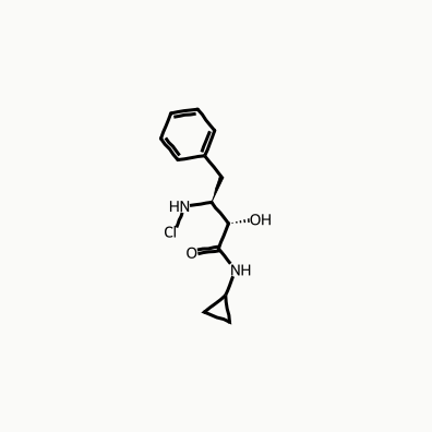 O=C(NC1CC1)[C@@H](O)[C@H](Cc1ccccc1)NCl